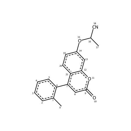 Cc1ccccc1-c1cc(=O)oc2cc(OC(C)C#N)ccc12